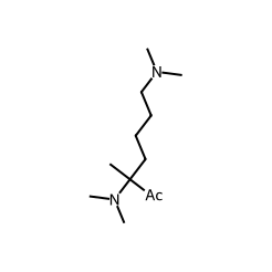 CC(=O)C(C)(CCCCN(C)C)N(C)C